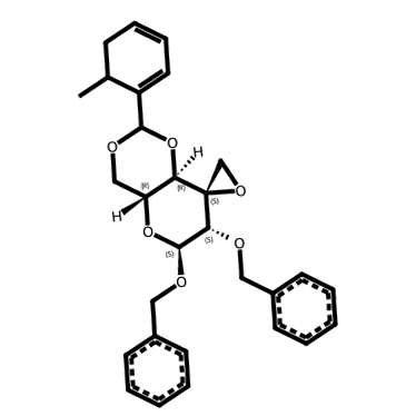 CC1CC=CC=C1C1OC[C@H]2O[C@H](OCc3ccccc3)[C@@H](OCc3ccccc3)[C@]3(CO3)[C@@H]2O1